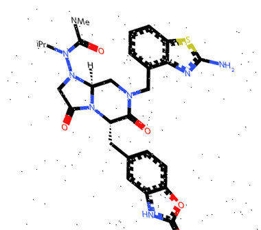 CNC(=O)N(C(C)C)N1CC(=O)N2[C@@H](Cc3ccc4oc(=O)[nH]c4c3)C(=O)N(Cc3cccc4sc(N)nc34)C[C@@H]21